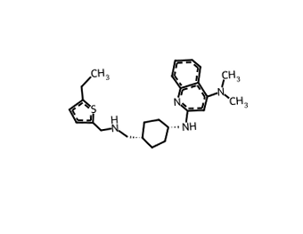 CCc1ccc(CNC[C@H]2CC[C@@H](Nc3cc(N(C)C)c4ccccc4n3)CC2)s1